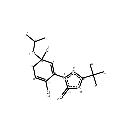 CC(C)OC1(Cl)C=C(n2nc(C(C)(C)C)oc2=O)C(Cl)=CC1